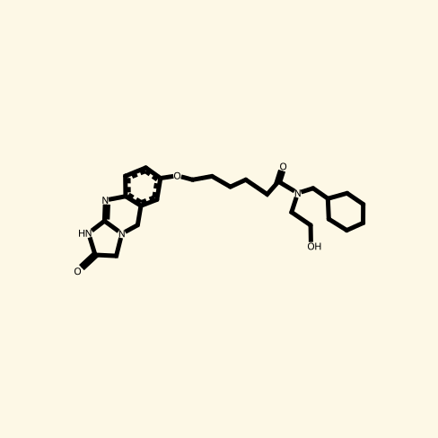 O=C1CN2Cc3cc(OCCCCCC(=O)N(CCO)CC4CCCCC4)ccc3N=C2N1